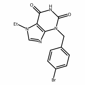 CCn1cnc2c1c(=O)[nH]c(=O)n2Cc1ccc(Br)cc1